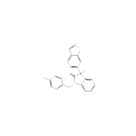 O=C1N(Cc2ccc(Cl)cc2)c2ccccc2C1(O)c1ccc2ccoc2c1